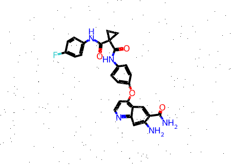 NC(=O)c1cc2c(Oc3ccc(NC(=O)C4(C(=O)Nc5ccc(F)cc5)CC4)cc3)ccnc2cc1N